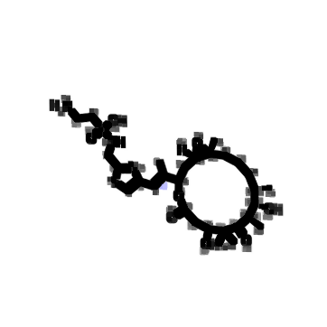 C/C(=C\c1csc(CNP(=O)(O)CCN)n1)C1C[C@@H]2O[C@]2(C)CCC[C@H](C)[C@H](O)[C@@H](C)C(=O)C(C)(C)C(O)CC(=O)O1